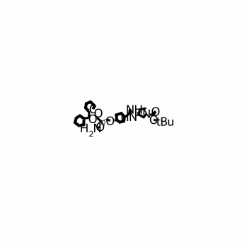 CC(C)(C)OC(=O)N1CC[C@H](NC(=N)c2ccc(OC[C@H](ON)C(=O)OC(c3ccccc3)c3ccccc3)cc2)C1